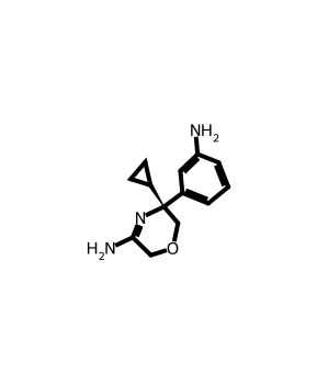 NC1=N[C@@](c2cccc(N)c2)(C2CC2)COC1